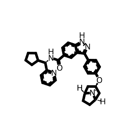 CN1[C@@H]2CC[C@H]1C[C@@H](Oc1ccc(-c3n[nH]c4ccc(C(=O)N[C@H](c5ccccn5)C5CCCC5)cc34)cc1)C2